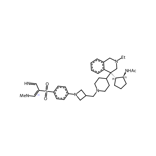 CCN1Cc2ccccc2C(C2CCN(CC3CN(c4ccc(S(=O)(=O)/C(C=N)=C/NC)cc4)C3)CC2)([C@H]2CCC[C@@H]2NC(C)=O)C1